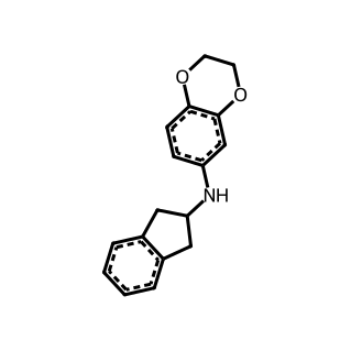 c1ccc2c(c1)CC(Nc1ccc3c(c1)OCCO3)C2